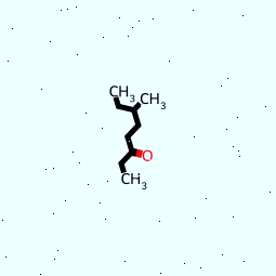 CCC(=O)CCC(C)CC